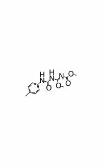 COC(=O)/N=C(/NC(=O)Nc1ccc(C)cc1)OC